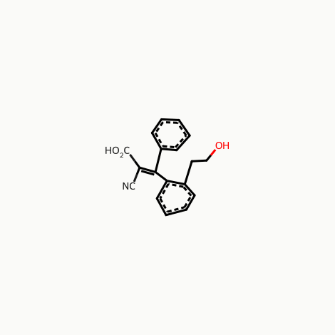 N#CC(C(=O)O)=C(c1ccccc1)c1ccccc1CCO